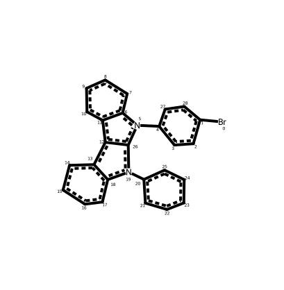 Brc1ccc(-n2c3ccccc3c3c4ccccc4n(-c4ccccc4)c32)cc1